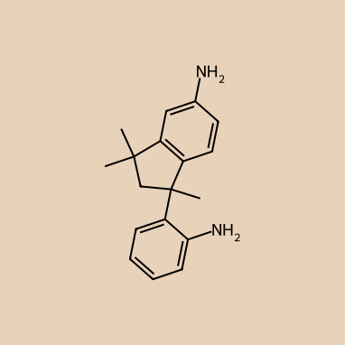 CC1(C)CC(C)(c2ccccc2N)c2ccc(N)cc21